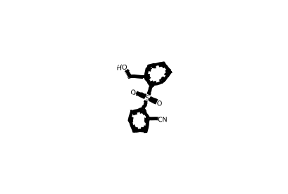 N#Cc1ccccc1S(=O)(=O)c1ccccc1CO